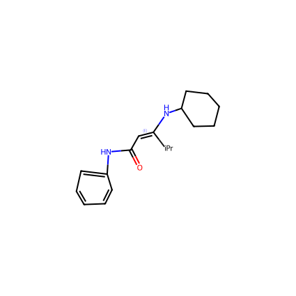 CC(C)/C(=C\C(=O)Nc1ccccc1)NC1CCCCC1